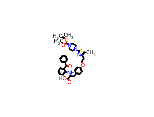 Cc1sc(N2CCN(C(=O)OC(C)(C)C)CC2)nc1CCOc1ccc(CC(Nc2ccccc2C(=O)c2ccccc2)C(=O)O)cc1